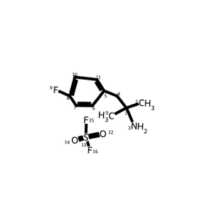 CC(C)(N)Cc1ccc(F)cc1.O=S(=O)(F)F